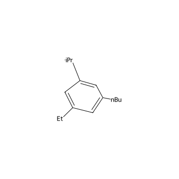 CCCCc1cc(CC)cc([C](C)C)c1